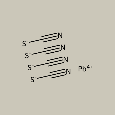 N#C[S-].N#C[S-].N#C[S-].N#C[S-].[Pb+4]